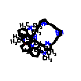 C[N+](C)(C)c1ccccc1-c1c(-c2ccccc2[N+](C)(C)C)c2c(-c3ccccc3[N+](C)(C)C)c3nc(cc4ccc(cc5nc(cc1n2-c1ccccc1[N+](C)(C)C)C=C5)[nH]4)C=C3